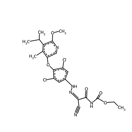 CCOC(=O)NC(=O)C(C#N)=NNc1cc(Cl)c(Oc2cnc(OC)c(C(C)C)c2C)c(Cl)c1